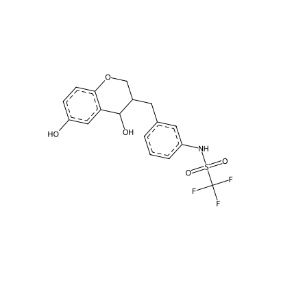 O=S(=O)(Nc1cccc(CC2COc3ccc(O)cc3C2O)c1)C(F)(F)F